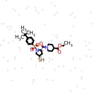 CCOC(=O)C1CCN(C(=O)[C@@H]2C[C@@H](S)CN2S(=O)(=O)c2ccc(C(C)(C)C)cc2)CC1